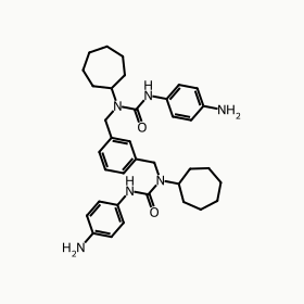 Nc1ccc(NC(=O)N(Cc2cccc(CN(C(=O)Nc3ccc(N)cc3)C3CCCCCC3)c2)C2CCCCCC2)cc1